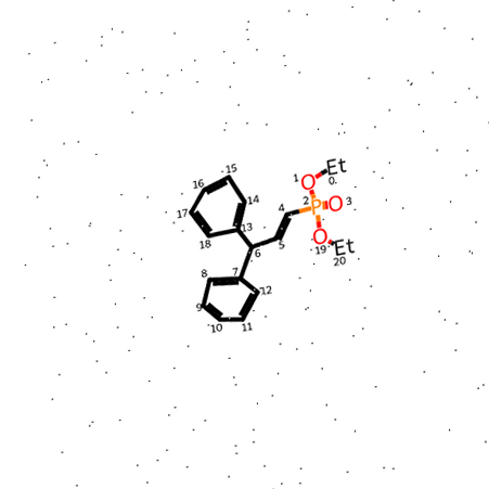 CCOP(=O)(C=CC(c1ccccc1)c1ccccc1)OCC